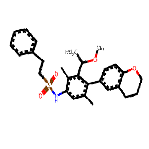 Cc1cc(NS(=O)(=O)CCc2ccccc2)c(C)c(C(OC(C)(C)C)C(=O)O)c1-c1ccc2c(c1)CCCO2